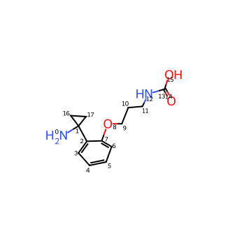 NC1(c2ccccc2OCCCNC(=O)O)CC1